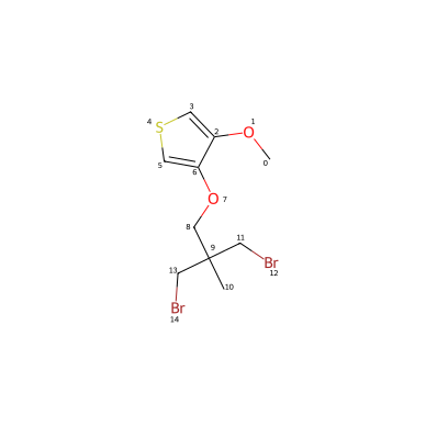 COc1cscc1OCC(C)(CBr)CBr